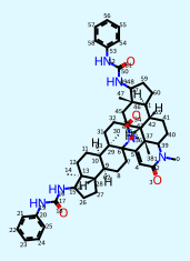 CN1C(=O)C=C(C23CC[C@@H]4[C@@H](CC[C@]5(C)C(NC(=O)Nc6ccccc6)CC[C@@H]45)[C@@]2(C)CCC(=O)N3C)[C@@]2(C)C1CC[C@@H]1[C@H]2CC[C@]2(C)C(NC(=O)Nc3ccccc3)CC[C@@H]12